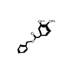 O=C(Cc1ccc(O)c(O)c1)OCc1ccccc1